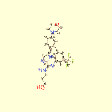 OCCCNc1nc2cc(C(F)(F)F)ccc2n2c(-c3ccc(N4CCOCC4)cc3)cnc12